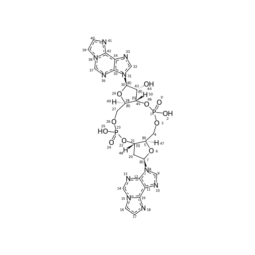 O=P1(O)OC[C@H]2O[C@@H](n3cnc4c3ncn3ccnc43)C[C@@H]2OP(=O)(O)OC[C@H]2O[C@@H](n3cnc4c3ncn3ccnc43)[C@H](O)[C@@H]2O1